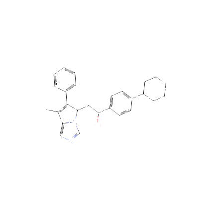 CC1=C(c2ccccc2)C(CC(O)c2ccc(C3CCCCC3)cc2)n2cncc21